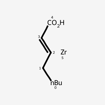 CCCCCC=CC(=O)O.[Zr]